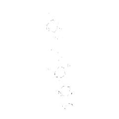 CCc1cnc(N2CCC(COc3c(F)cc(-c4cnc(C(N)=O)nc4)cc3F)CC2)nc1